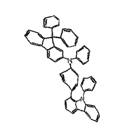 c1ccc(N(c2ccc(-c3cccc4c5ccccc5n(-c5ccccc5)c34)cc2)c2ccc3c(c2)C(c2ccccc2)(c2ccccc2)c2ccccc2-3)cc1